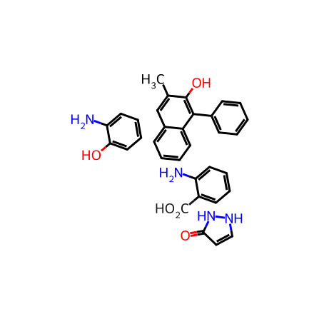 Cc1cc2ccccc2c(-c2ccccc2)c1O.Nc1ccccc1C(=O)O.Nc1ccccc1O.O=c1cc[nH][nH]1